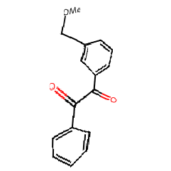 COCc1cccc(C(=O)C(=O)c2ccccc2)c1